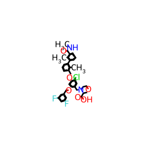 CNC(=O)c1cccc(-c2cccc(COc3cc(OCc4cc(F)cc(F)c4)c(CN4CCOCC4C(=O)O)cc3Cl)c2C)c1C